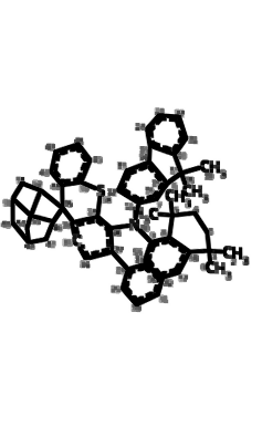 CC1(C)CCC(C)(C)c2c(N(c3ccc4c(c3)C(C)(C)c3ccccc3-4)c3c(-c4ccccc4)ccc4c3Sc3ccccc3C43C4CC5CC6CC3C64C5)cccc21